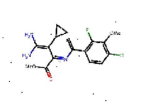 C=C(/N=C(/C(=O)OC)C(=C(N)N)C1CC1)c1ccc(Cl)c(OC)c1F